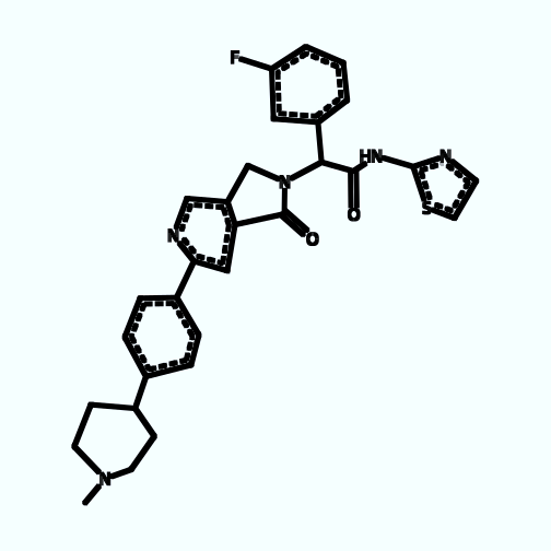 CN1CCC(c2ccc(-c3cc4c(cn3)CN(C(C(=O)Nc3nccs3)c3cccc(F)c3)C4=O)cc2)CC1